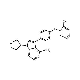 N#Cc1ccccc1Oc1ccc(-c2cn(C3CCOC3)c3ncnc(N)c23)cc1